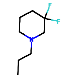 CCCN1CCCC(F)(F)C1